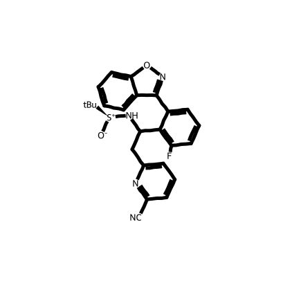 CC(C)(C)[S@+]([O-])NC(Cc1cccc(C#N)n1)c1c(F)cccc1-c1noc2ccccc12